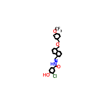 O=C(N/N=C/c1cccc2c(COCc3ccc(OC(F)(F)F)cc3)cccc12)c1ccc(O)c(Cl)c1